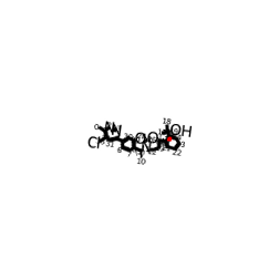 Cc1nnc(-c2ccc([C@H](C)N3CC[C@](CC(C)(C)O)(c4ccccc4)OC3=O)cc2)cc1Cl